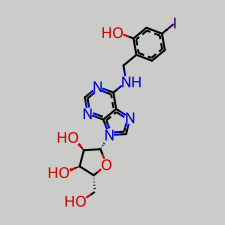 OC[C@H]1O[C@@H](n2cnc3c(NCc4ccc(I)cc4O)ncnc32)[C@H](O)[C@@H]1O